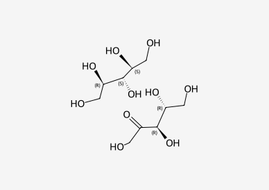 O=C(CO)[C@H](O)[C@H](O)CO.OC[C@@H](O)[C@@H](O)[C@@H](O)CO